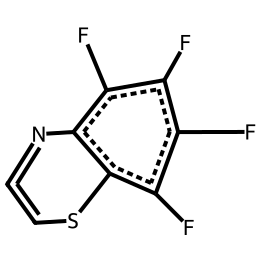 Fc1c(F)c(F)c2c(c1F)N=C=CS2